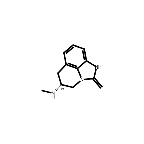 C=C1Nc2cccc3c2N1C[C@H](NC)C3